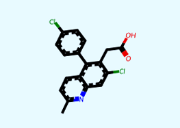 Cc1ccc2c(-c3ccc(Cl)cc3)c(CC(=O)O)c(Cl)cc2n1